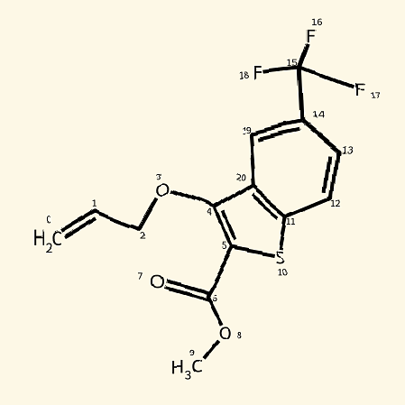 C=CCOc1c(C(=O)OC)sc2ccc(C(F)(F)F)cc12